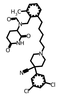 Cc1cccc(CCCCCN2CCC(C#N)(c3cc(Cl)cc(Cl)c3)CC2)c1CN(C=O)C1CCC(=O)NC1=O